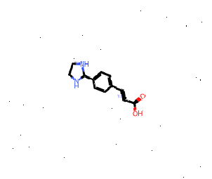 O=C(O)/C=C/c1ccc(C2NCCN2)cc1